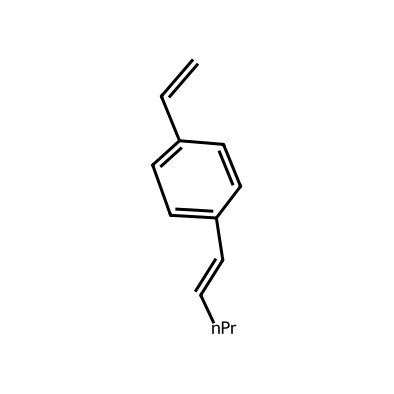 C=Cc1ccc(C=CCCC)cc1